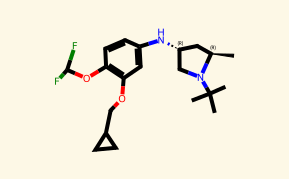 C[C@@H]1C[C@@H](Nc2ccc(OC(F)F)c(OCC3CC3)c2)CN1C(C)(C)C